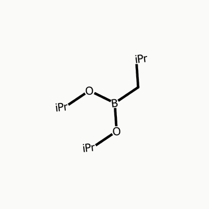 CC(C)CB(OC(C)C)OC(C)C